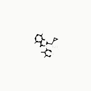 Cc1c(F)cncc1-n1c([C@@H](N)C2CC2)nc2c(F)ccc(Cl)c2c1=O